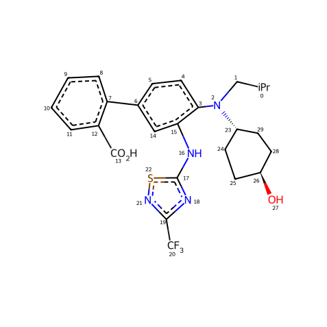 CC(C)CN(c1ccc(-c2ccccc2C(=O)O)cc1Nc1nc(C(F)(F)F)ns1)[C@H]1CC[C@H](O)CC1